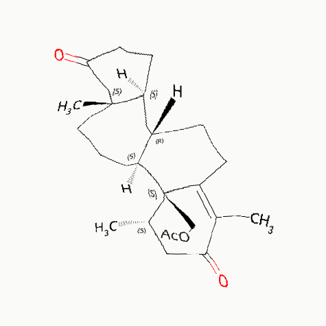 CC(=O)OC[C@@]12C(=C(C)C(=O)C[C@@H]1C)CC[C@@H]1[C@@H]2CC[C@]2(C)C(=O)CC[C@@H]12